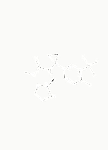 COC(=O)N(C[C@@H]1CCCN1)C1(c2ccc(F)c(C(F)(F)F)c2)CC1